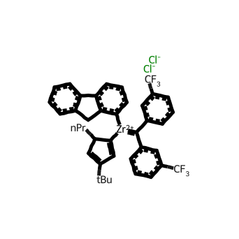 CCCC1C=C(C(C)(C)C)C=[C]1[Zr+2](=[C](c1cccc(C(F)(F)F)c1)c1cccc(C(F)(F)F)c1)[c]1cccc2c1Cc1ccccc1-2.[Cl-].[Cl-]